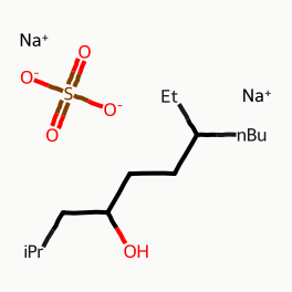 CCCCC(CC)CCC(O)CC(C)C.O=S(=O)([O-])[O-].[Na+].[Na+]